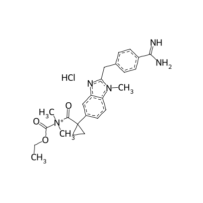 CCOC(=O)[N+](C)(C)C(=O)C1(c2ccc3c(c2)nc(Cc2ccc(C(=N)N)cc2)n3C)CC1.Cl